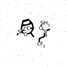 CC1O[Si]2(C)CCC1c1ccc2cc1.C[SiH](CCC(F)(F)F)O[SiH3]